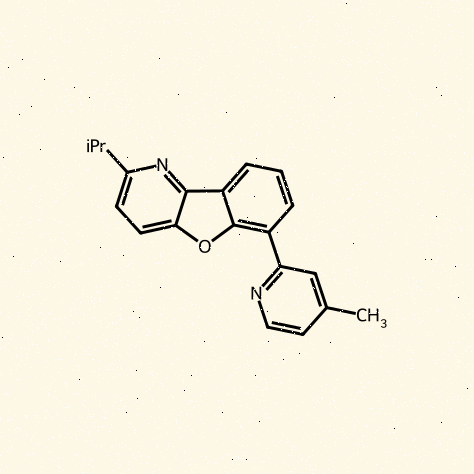 Cc1ccnc(-c2cccc3c2oc2ccc(C(C)C)nc23)c1